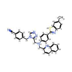 Cc1ccc2nc(-c3ccc(N(Cc4ccc5ccccc5n4)Cc4nncn4Cc4ccc(C#N)cc4)cc3)sc2c1